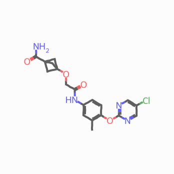 Cc1cc(NC(=O)COC23CC(C(N)=O)(C2)C3)ccc1Oc1ncc(Cl)cn1